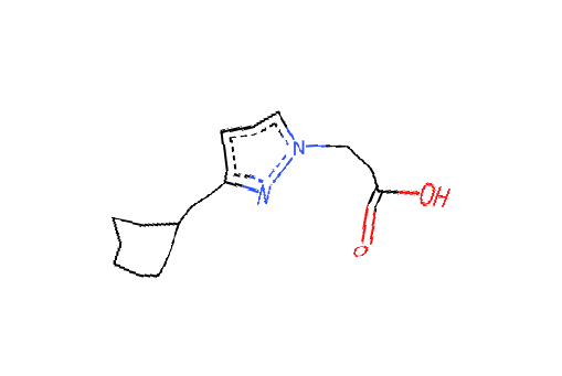 O=C(O)Cn1ccc(C2CCC2)n1